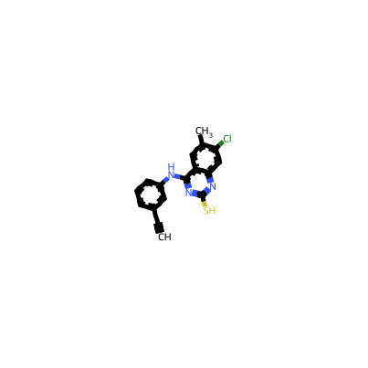 C#Cc1cccc(Nc2nc(S)nc3cc(Cl)c(C)cc23)c1